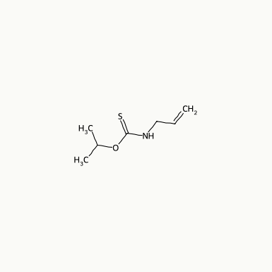 C=CCNC(=S)OC(C)C